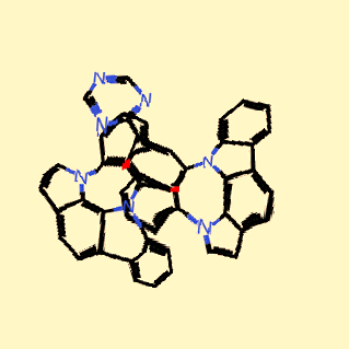 c1ccc(-n2ccc3ccc4c5ccccc5n(-c5cc(-c6ncncn6)cc(-n6c7ccccc7c7ccc8ccn(-c9ccccc9)c8c76)c5)c4c32)cc1